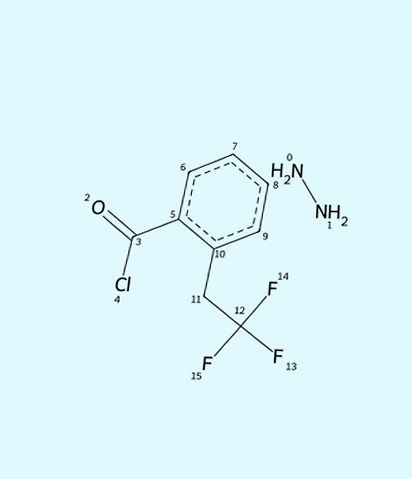 NN.O=C(Cl)c1ccccc1CC(F)(F)F